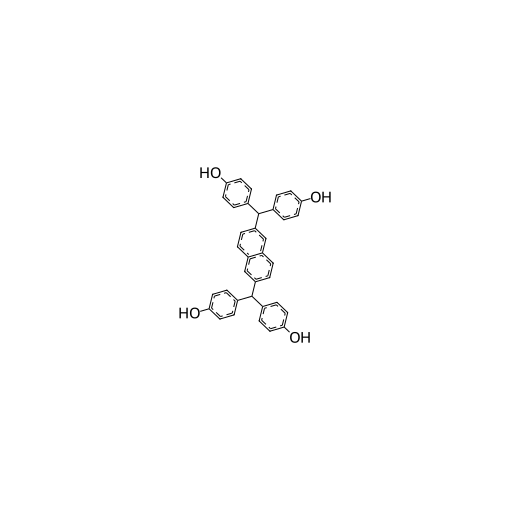 Oc1ccc(C(c2ccc(O)cc2)c2ccc3cc(C(c4ccc(O)cc4)c4ccc(O)cc4)ccc3c2)cc1